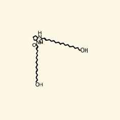 O=C(/C=C/CCCCCCCCCCCCCCO)N[C@H]1CCC[C@H]1NC(=O)/C=C/CCCCCCCCCCCCCCO